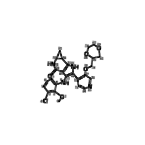 COc1c(Cl)cccc1Nc1c(-c2ccncc2OCC2COCCO2)[nH]c2c1C(=O)NC1CC21